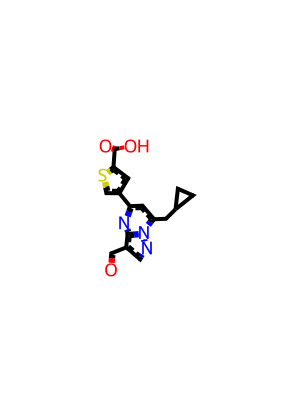 O=Cc1cnn2c(CC3CC3)cc(-c3csc(C(=O)O)c3)nc12